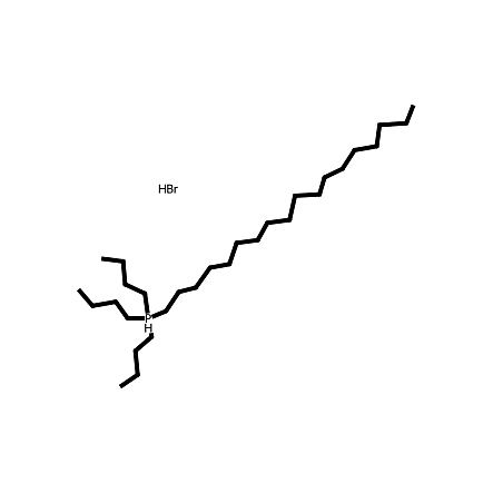 Br.CCCCCCCCCCCCCCCCCC[PH](CCCC)(CCCC)CCCC